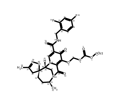 CCCCCCCCOC(=O)OCOc1c2n(cc(C(=O)NCc3ccc(F)cc3F)c1=O)[C@@H]1CN(C2=O)[C@@H](C)CC[C@]12CC(C)=NO2